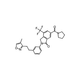 Cc1conc1CCc1cccc(N2Cc3c(cc(C(=O)N4CCCC4)cc3C(F)(F)F)C2=O)c1